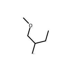 [CH2]C(CC)COC